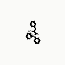 NC(Cc1ccccc1)C(=O)N(c1ccccc1)c1ccccn1